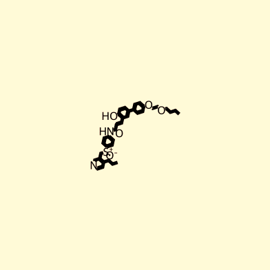 CCCCOCCOc1ccc(-c2ccc(O)c(/C=C/C(=O)Nc3ccc([S@@+]([O-])Cc4cnccc4CCC)cc3)c2)cc1